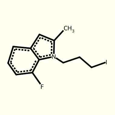 Cc1cc2cccc(F)c2n1CCCI